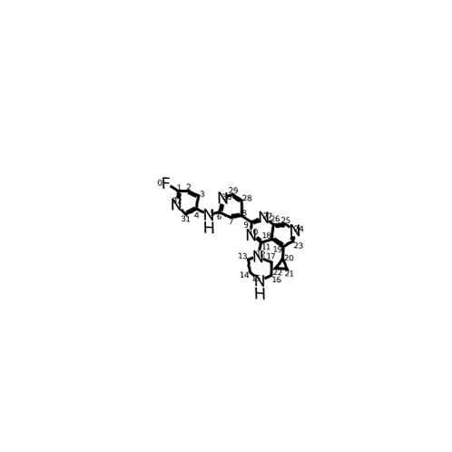 Fc1ccc(Nc2cc(-c3nc(N4CCNCC4)c4c(C5CC5)cncc4n3)ccn2)cn1